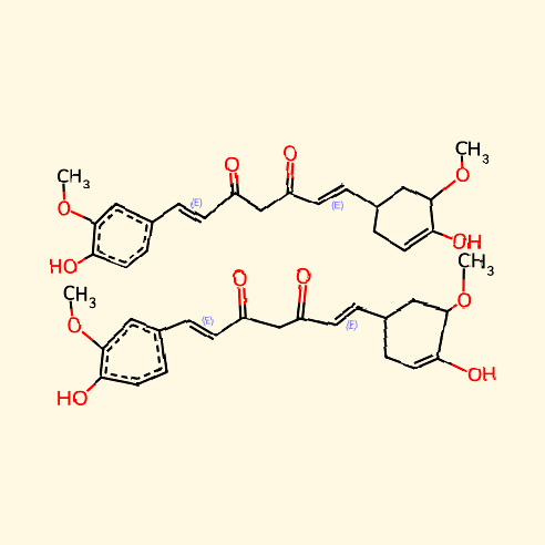 COc1cc(/C=C/C(=O)CC(=O)/C=C/C2CC=C(O)C(OC)C2)ccc1O.COc1cc(/C=C/C(=O)CC(=O)/C=C/C2CC=C(O)C(OC)C2)ccc1O